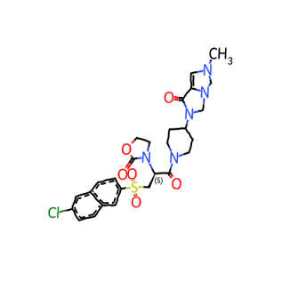 CN1C=C2C(=O)N(C3CCN(C(=O)[C@@H](CS(=O)(=O)c4ccc5cc(Cl)ccc5c4)N4CCOC4=O)CC3)CN2C1